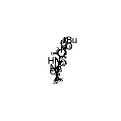 CC1CN(C(=O)OC(C)(C)C)CCC1NC(=O)c1cc(C2CC2)on1